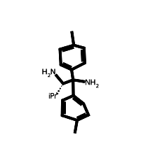 Cc1ccc(C(N)(c2ccc(C)cc2)[C@@H](N)C(C)C)cc1